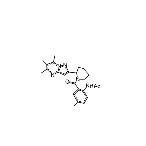 CC(=O)Nc1ccc(C)cc1C(=O)N1CCCCC1c1cc2nc(C)c(C)c(C)n2n1